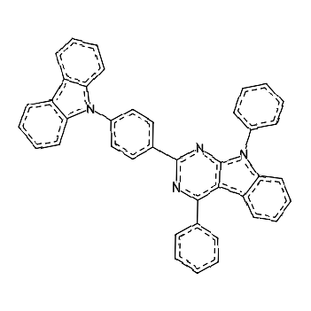 c1ccc(-c2nc(-c3ccc(-n4c5ccccc5c5ccccc54)cc3)nc3c2c2ccccc2n3-c2ccccc2)cc1